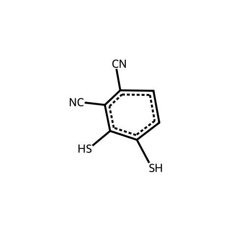 N#Cc1ccc(S)c(S)c1C#N